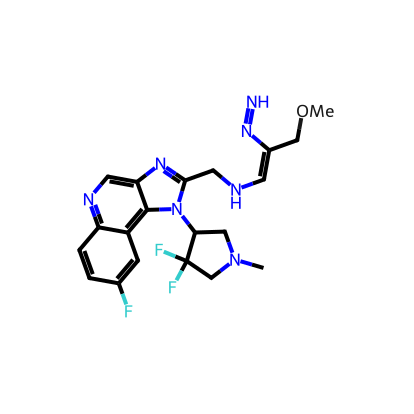 COC/C(=C/NCc1nc2cnc3ccc(F)cc3c2n1C1CN(C)CC1(F)F)N=N